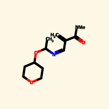 C=C(/C=N\C(C)OC1CCOCC1)C(=O)NC